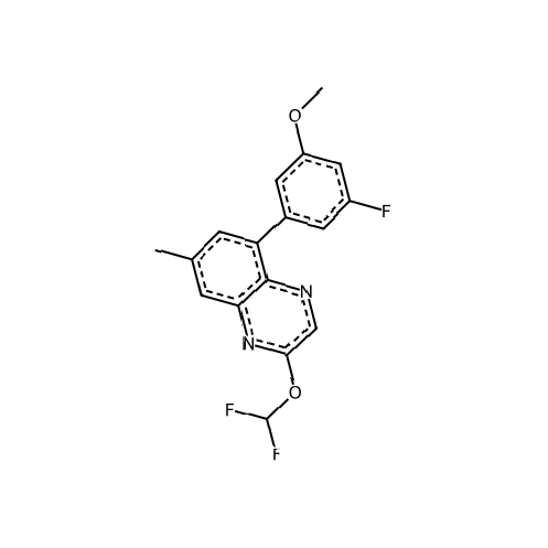 COc1cc(F)cc(-c2cc(C)cc3nc(OC(F)F)cnc23)c1